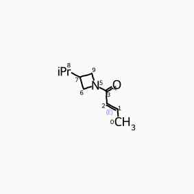 C/C=C/C(=O)N1CC(C(C)C)C1